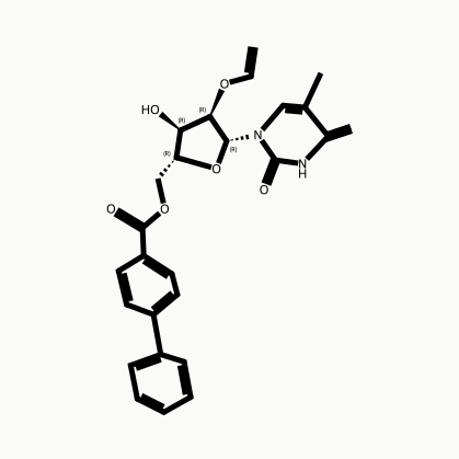 C=CO[C@@H]1[C@H](O)[C@@H](COC(=O)c2ccc(-c3ccccc3)cc2)O[C@H]1N1C=C(C)C(=C)NC1=O